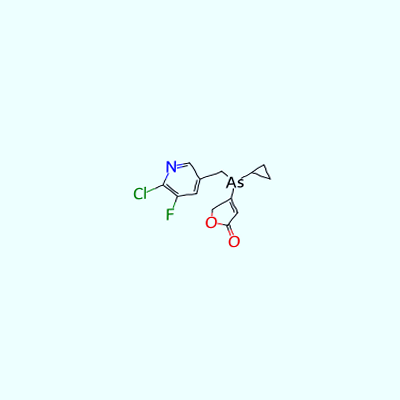 O=C1C=C([As](Cc2cnc(Cl)c(F)c2)C2CC2)CO1